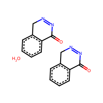 O.O=C1N=NCc2ccccc21.O=C1N=NCc2ccccc21